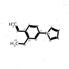 C=Cc1ccc(-n2cccc2)cc1CC